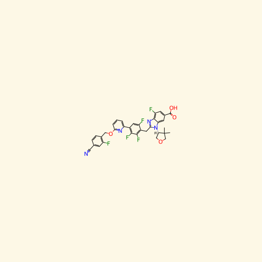 CC1(C)COC[C@@H]1n1c(Cc2c(F)cc(-c3cccc(OCc4ccc(C#N)cc4F)n3)c(F)c2F)nc2c(F)cc(C(=O)O)cc21